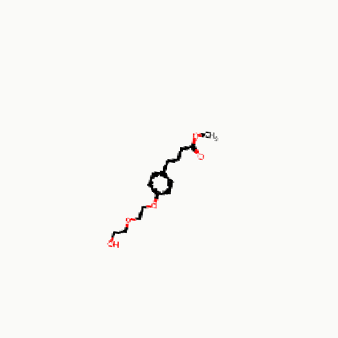 COC(=O)CCCc1ccc(OCCOCCO)cc1